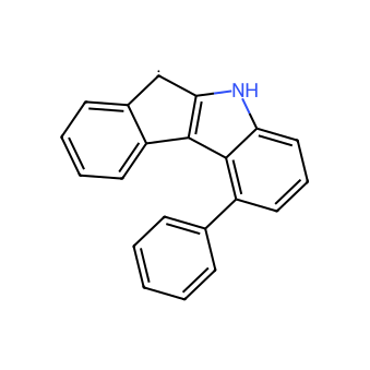 [CH]1c2ccccc2-c2c1[nH]c1cccc(-c3ccccc3)c21